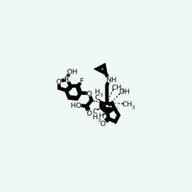 C[C@@H]1CC[C@@]23CCC(=O)[C@H]2[C@@]1(C)[C@H](C(Oc1ccc2c(c1F)B(O)OC2)C(=O)O)C[C@@](C)(CNC1CC1)[C@@H](O)[C@@H]3C